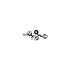 O=C/C(=C\C(=O)O)C(=O)OC1OCCN1C(CCN1CCOCC1)c1ccccc1